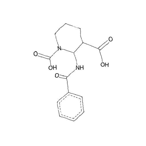 O=C(NC1C(C(=O)O)CCCN1C(=O)O)c1ccccc1